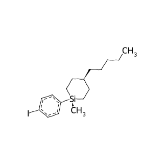 CCCCC[C@H]1CC[Si@](C)(c2ccc(I)cc2)CC1